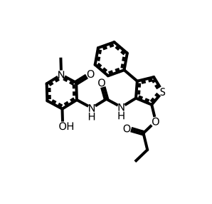 CCC(=O)Oc1scc(-c2ccccc2)c1NC(=O)Nc1c(O)ccn(C)c1=O